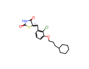 O=C1NC(=O)/C(=C/c2cccc(OCCCC3CCCCC3)c2Cl)S1